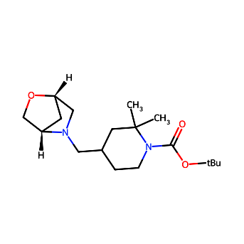 CC(C)(C)OC(=O)N1CCC(CN2C[C@@H]3C[C@H]2CO3)CC1(C)C